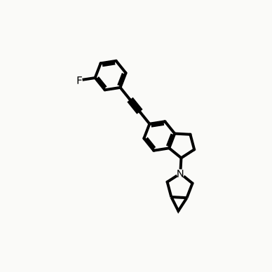 Fc1cccc(C#Cc2ccc3c(c2)CCC3N2CC3CC3C2)c1